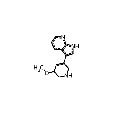 COC1C=C(c2c[nH]c3ncccc23)CNC1